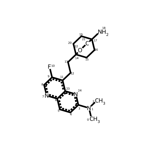 CN(C)c1ccc2ncc(F)c(CCC34CCC(N)(CC3)CO4)c2n1